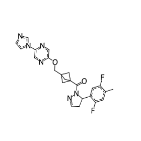 Cc1cc(F)c(C2CC=NN2C(=O)C23CC(COc4cnc(-n5ccnc5)cn4)(C2)C3)cc1F